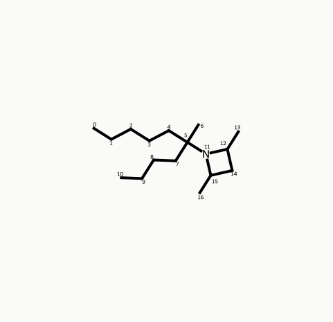 CCCCCC(C)(CCCC)N1C(C)CC1C